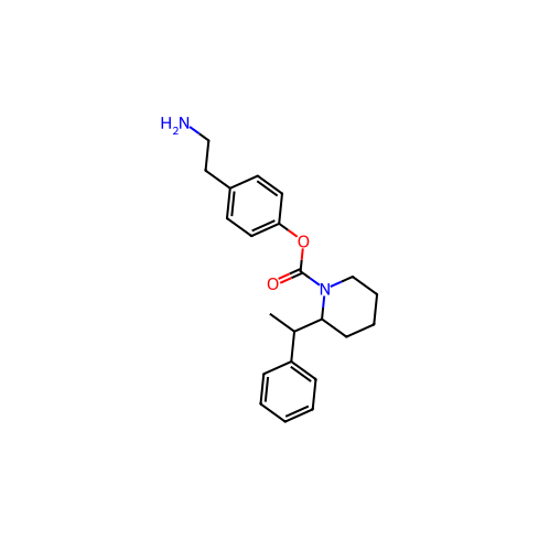 CC(c1ccccc1)C1CCCCN1C(=O)Oc1ccc(CCN)cc1